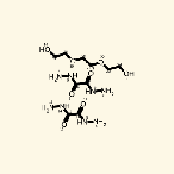 NNC(=O)C(=O)NN.NNC(=O)C(=O)NN.OCCOCCOCCO